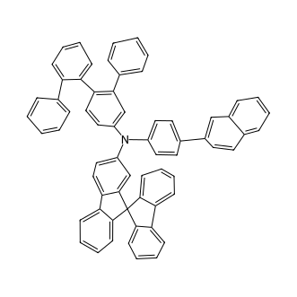 c1ccc(-c2ccccc2-c2ccc(N(c3ccc(-c4ccc5ccccc5c4)cc3)c3ccc4c(c3)C3(c5ccccc5-c5ccccc53)c3ccccc3-4)cc2-c2ccccc2)cc1